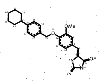 COc1cc(/C=C2\SC(=S)NC2=O)ccc1OCc1ccc(C2CCCCC2)cc1